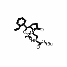 C=Cc1ccccc1C(OS(C)(=O)=O)C1CCC(=O)N1CCNC(=O)OC(C)(C)C